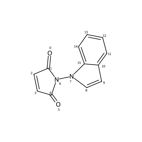 O=C1C=CC(=O)N1n1ccc2ccccc21